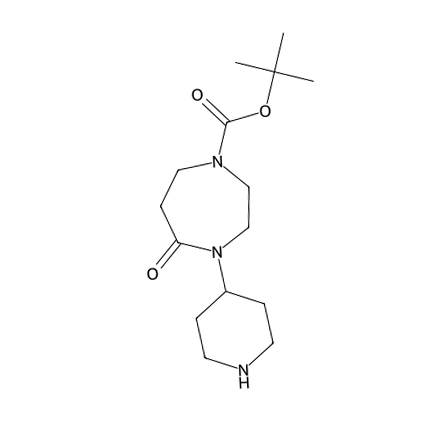 CC(C)(C)OC(=O)N1CCC(=O)N(C2CCNCC2)CC1